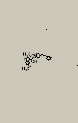 COc1ccc2ncc(N(C)C)c([C@@H](O)CCC3(CO)CCN(CCSc4cc(F)c(F)c(F)c4)CC3)c2c1